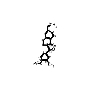 C=Cc1ccc2c(c1)CCc1c-2noc1-c1ccc(CC(C)C)c(C(F)(F)F)c1